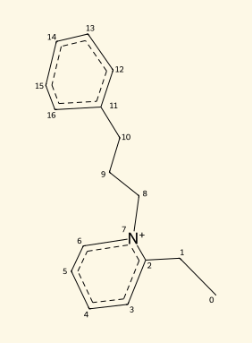 CCc1cccc[n+]1CCCc1ccccc1